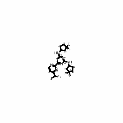 FC(F)c1ccnc(-c2nc(NC3CCC(F)(F)C3)nc(NC3CCC(F)(F)C3)n2)n1